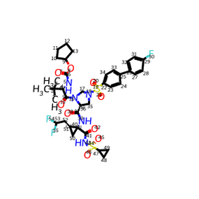 CC(C)(C)[C@H](NC(=O)OC1CCCC1)C(=O)N1CN(S(=O)(=O)c2ccc(-c3ccc(F)cc3)cc2)C[C@H]1C(=O)N[C@]1(C(=O)NS(=O)(=O)C2CC2)C[C@H]1CC(F)F